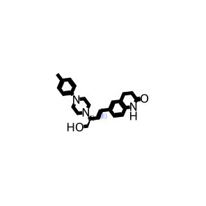 Cc1ccc(N2CCN([C@@H](/C=C/c3ccc4c(c3)CCC(=O)N4)CO)CC2)cc1